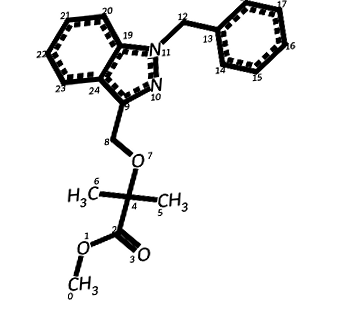 COC(=O)C(C)(C)OCc1nn(Cc2ccccc2)c2ccccc12